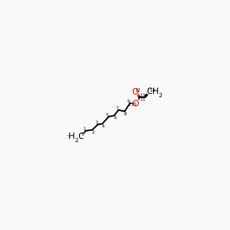 [CH2]CCCCCCCC[CH]OC(=O)C=C